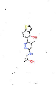 Cc1cc(NC[C@H](C)O)nnc1-c1ccc2sccc2c1O